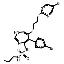 CCCNS(=O)(=O)NC1=C(c2ccc(Br)cc2)C(OCCOc2ncc(Br)cn2)=CNC=N1